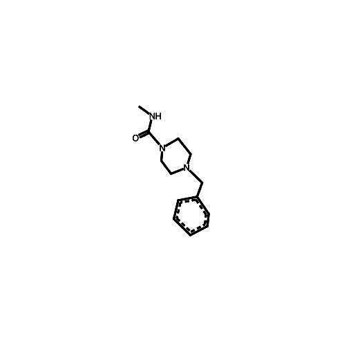 CNC(=O)N1CCN(Cc2ccccc2)CC1